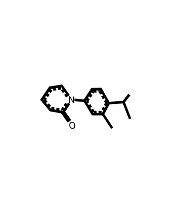 Cc1cc(-n2ccccc2=O)ccc1C(C)C